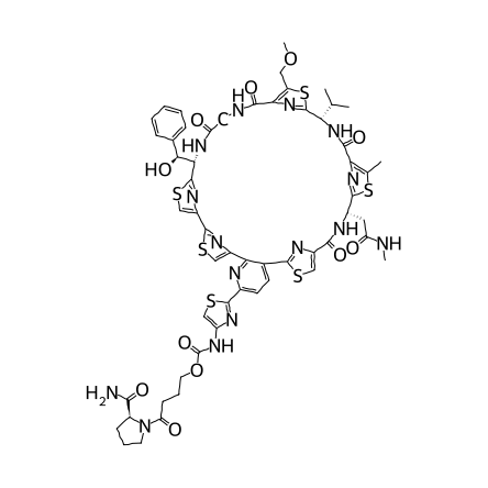 CNC(=O)C[C@@H]1NC(=O)c2csc(n2)-c2ccc(-c3nc(NC(=O)OCCCC(=O)N4CCC[C@H]4C(N)=O)cs3)nc2-c2csc(n2)-c2csc(n2)[C@H]([C@@H](O)c2ccccc2)NC(=O)CNC(=O)c2nc(sc2COC)[C@H](C(C)C)NC(=O)c2nc1sc2C